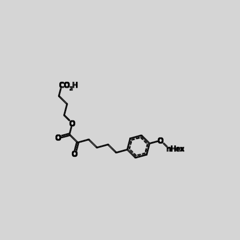 CCCCCCOc1ccc(CCCCC(=O)C(=O)OCCCC(=O)O)cc1